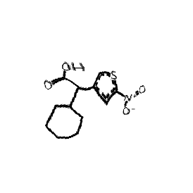 O=C(O)C(c1csc([N+](=O)[O-])c1)C1CCCCC1